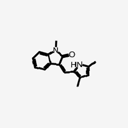 Cc1cc(C)c(/C=C2\C(=O)N(C)c3ccccc32)[nH]1